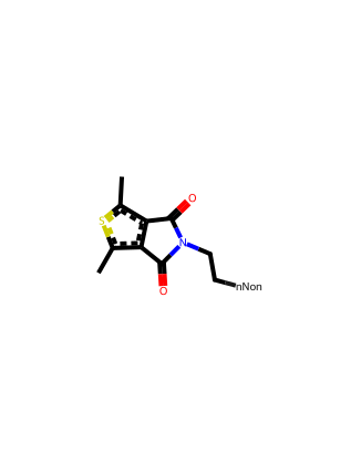 CCCCCCCCCCCN1C(=O)c2c(C)sc(C)c2C1=O